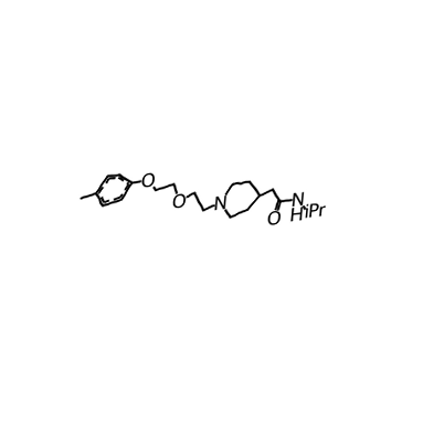 Cc1ccc(OCCOCCN2CCC(CC(=O)NC(C)C)CC2)cc1